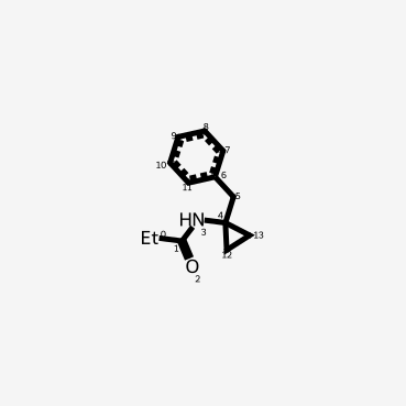 CCC(=O)NC1(Cc2ccccc2)CC1